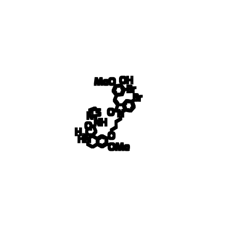 COc1cc2c(cc1OCCCCN1C(=O)C(=Cc3cc(Br)c(O)c(OC)c3)c3cc(Br)ccc31)C(C)(CC(=O)Nc1nccs1)NCC2